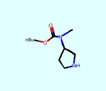 CCCCOC(=O)N(C)C1CCNC1